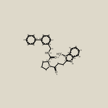 Cn1c(CCC(=O)N2CCC[C@H]2C(=O)NCc2cccc(-c3ccccc3)c2)nc2ccccc21